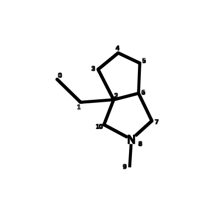 CCC12CCCC1CN(C)C2